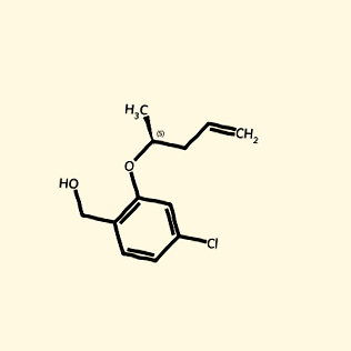 C=CC[C@H](C)Oc1cc(Cl)ccc1CO